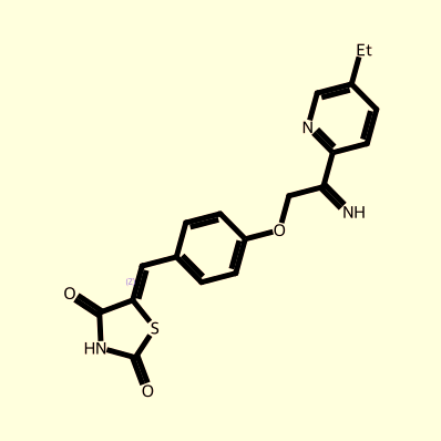 CCc1ccc(C(=N)COc2ccc(/C=C3\SC(=O)NC3=O)cc2)nc1